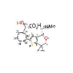 CNC[C@@H]1OCC2(CC2)c2sccc21.O=C(O)[C@@H](O)c1ccccc1